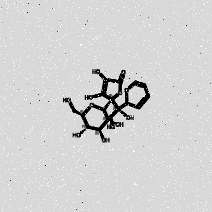 O=C1O[C@](C2O[C@H](CO)[C@@H](O)[C@H](O)[C@H]2O)([C@@](O)(CO)C2C=CC=CO2)C(O)=C1O